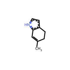 CC1=Cc2[nH]ccc2CC1